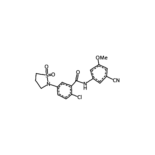 COc1cc(C#N)cc(NC(=O)c2cc(N3CCCS3(=O)=O)ccc2Cl)c1